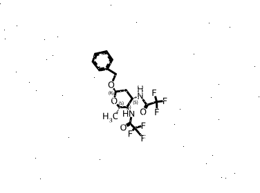 C[C@@H]1O[C@@H](OCc2ccccc2)C[C@H](NC(=O)C(F)(F)F)[C@@H]1NC(=O)C(F)(F)F